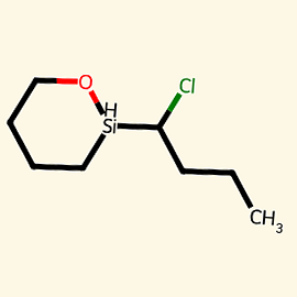 CCCC(Cl)[SiH]1CCCCO1